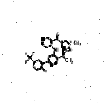 C=C(C)c1cnc(-c2cc(C(F)(F)F)ccc2F)cc1Nc1ccncc1C(=O)NC[C@H](C)O